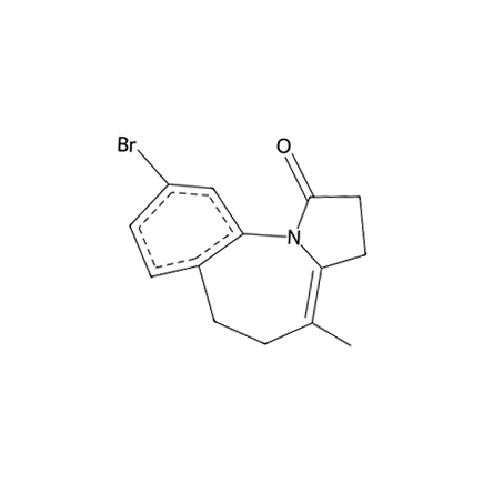 CC1=C2CCC(=O)N2c2cc(Br)ccc2CC1